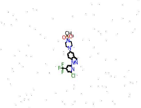 CS(=O)(=O)N1CCN(c2ccc3c(cnn3-c3cc(C(F)(F)F)cc(Cl)n3)c2)CC1